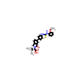 COc1ccccc1NC(=S)Nc1ccc(-c2ccc3c(c2)C(=O)N([C@H](C(=O)O)C(C)C)C3)cc1